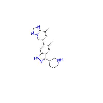 Cc1cc2c(C3CCCNC3)n[nH]c2cc1-c1cc(C)c2ncnn2c1